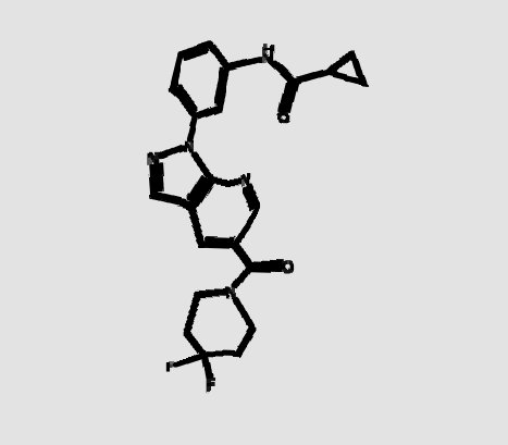 O=C(Nc1cccc(-n2ncc3cc(C(=O)N4CCC(F)(F)CC4)cnc32)c1)C1CC1